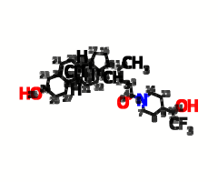 CC(CCC(=O)N1CCC(C(O)C(F)(F)F)CC1)[C@H]1CC[C@H]2[C@@H]3CC=C4C[C@@H](O)CC[C@]4(C)[C@H]3CC[C@]12C